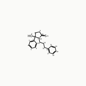 OC1(c2ccccc2)CCC(=S)N1CCCc1ccccc1